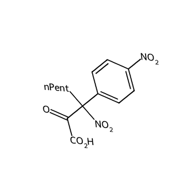 CCCCCC(C(=O)C(=O)O)(c1ccc([N+](=O)[O-])cc1)[N+](=O)[O-]